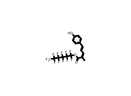 CC(=CC=Cc1ccc(O)cc1)C(=O)OC(F)(F)C(F)(F)C(F)(F)C(F)(F)C(F)(F)C(F)(F)F